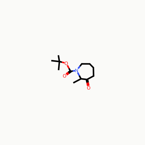 CC1C(=O)CCCCN1C(=O)OC(C)(C)C